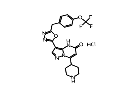 Cl.O=c1cc(C2CCNCC2)n2ncc(-c3nnc(Cc4ccc(OC(F)(F)F)cc4)o3)c2[nH]1